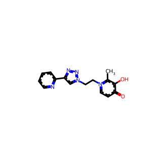 Cc1c(O)c(=O)ccn1CCn1cc(-c2ccccn2)nn1